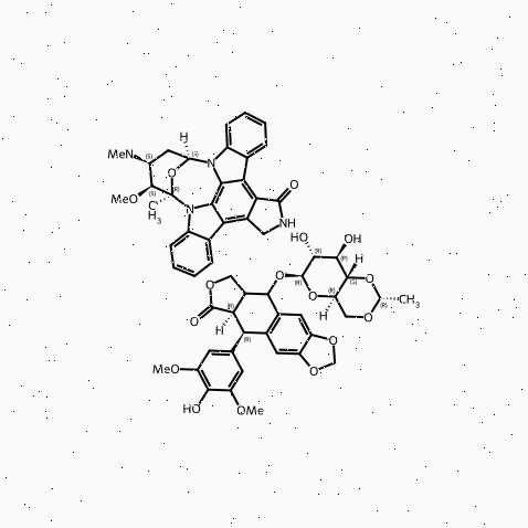 CN[C@H]1C[C@@H]2O[C@](C)([C@H]1OC)n1c3ccccc3c3c4c(c5c6ccccc6n2c5c31)C(=O)NC4.COc1cc([C@@H]2c3cc4c(cc3C(O[C@@H]3O[C@@H]5CO[C@@H](C)O[C@H]5[C@H](O)[C@H]3O)C3COC(=O)[C@@H]32)OCO4)cc(OC)c1O